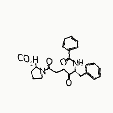 O=C(N[C@@H](Cc1ccccc1)C(=O)CCC(=O)N1CCC[C@H]1C(=O)O)c1ccccc1